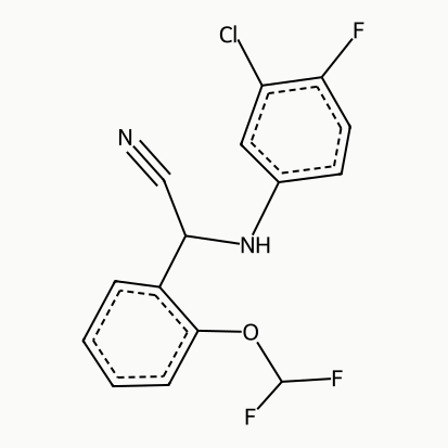 N#CC(Nc1ccc(F)c(Cl)c1)c1ccccc1OC(F)F